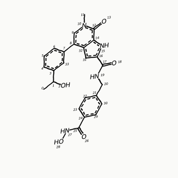 CC(O)c1cccc(-c2cn(C)c(=O)c3[nH]c(C(=O)NCc4ccc(C(=O)NO)cc4)cc23)c1